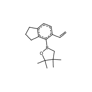 C=Cc1ccc2c(c1B1CC(C)(C)C(C)(C)O1)CCC2